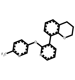 FC(F)(F)c1ccc(Oc2ncccc2-c2cccc3c2OCCC3)cn1